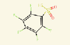 O=S(=O)(S)c1c(F)c(F)c(F)c(F)c1F